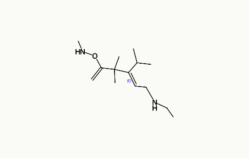 C=C(ONC)C(C)(C)/C(=C/CNCC)C(C)C